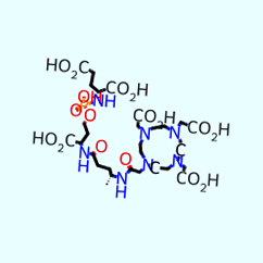 C[C@H](CCC(=O)NC(CCOP(=O)(O)NC(CCC(=O)O)C(=O)O)C(=O)O)NC(=O)CN1CCN(CC(=O)O)CCN(CC(=O)O)CCN(CC(=O)O)CC1